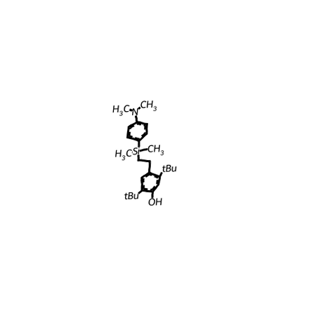 CN(C)c1ccc([Si](C)(C)CCc2cc(C(C)(C)C)c(O)cc2C(C)(C)C)cc1